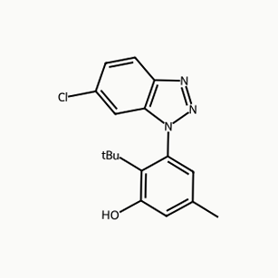 Cc1cc(O)c(C(C)(C)C)c(-n2nnc3ccc(Cl)cc32)c1